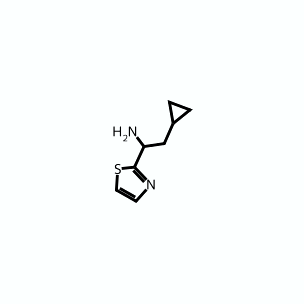 NC(CC1CC1)c1nccs1